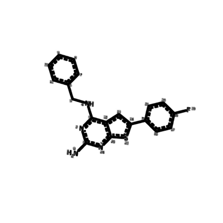 Nc1nc(NCc2ccccc2)c2cc(-c3ccc(F)cc3)sc2n1